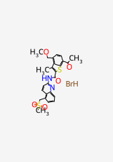 Br.COCc1ccc(C(C)=O)c2sc(C(=O)Nc3ccc4c(CS(C)(=O)=O)cccc4n3)c(C)c12